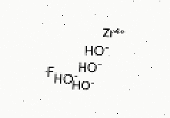 [F].[OH-].[OH-].[OH-].[OH-].[Zr+4]